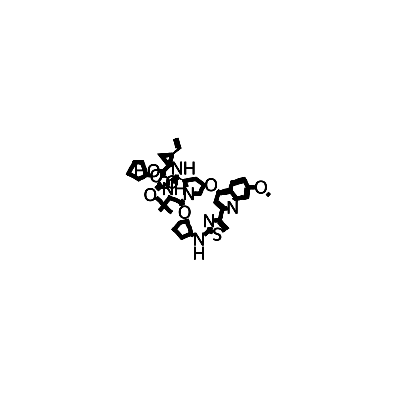 C=C[C@@H]1C[C@]1(NC(=O)[C@@H]1C[C@@H](Oc2cc(-c3csc(NC4CCCC4)n3)nc3cc(OC)ccc23)CN1C(=O)[C@@H](NC(=O)OC1CCCC1)C(C)(C)C)C(=O)O